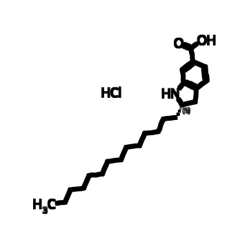 CCCCCCCCCCCCCC[C@H]1Cc2ccc(C(=O)O)cc2N1.Cl